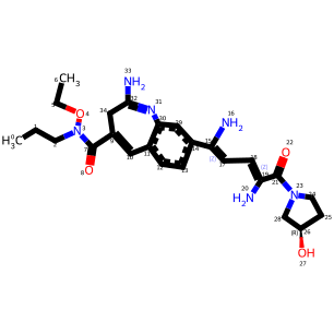 CCCN(OCC)C(=O)C1=Cc2ccc(/C(N)=C/C=C(\N)C(=O)N3CC[C@@H](O)C3)cc2N=C(N)C1